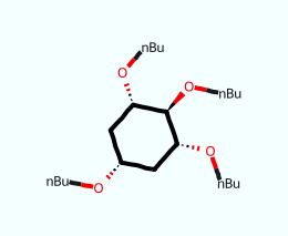 CCCCO[C@@H]1C[C@H](OCCCC)[C@@H](OCCCC)[C@H](OCCCC)C1